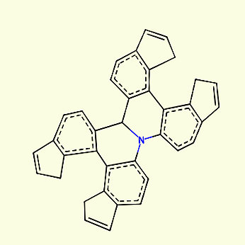 C1=Cc2ccc3c(c2C1)-c1c(ccc2c1CC=C2)N1c2ccc4c(c2-c2c(ccc5c2CC=C5)C31)CC=C4